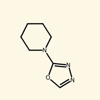 c1nnc(N2CCCCC2)o1